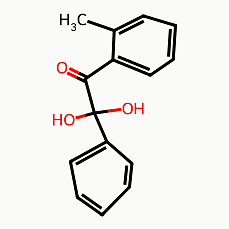 Cc1ccccc1C(=O)C(O)(O)c1ccccc1